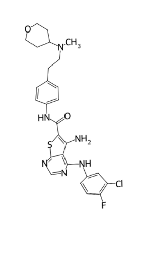 CN(CCc1ccc(NC(=O)c2sc3ncnc(Nc4ccc(F)c(Cl)c4)c3c2N)cc1)C1CCOCC1